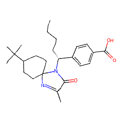 CCCC[C@H](c1ccc(C(=O)O)cc1)N1C(=O)C(C)=NC12CCC(C(C)(C)C)CC2